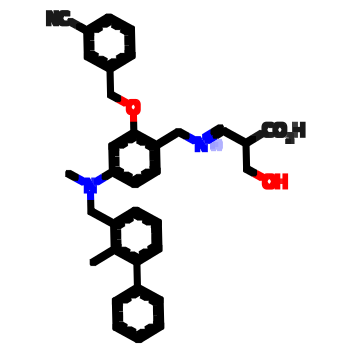 Cc1c(CN(C)c2ccc(C/N=C/C(CO)C(=O)O)c(OCc3cccc(C#N)c3)c2)cccc1-c1ccccc1